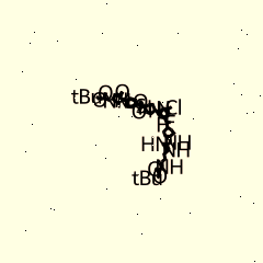 CC(C)(C)OC(=O)NCCCNC(=N)NC1CCC(C(F)(F)c2cc(Cl)nc(N3CCN(S(=O)(=O)c4ccc(N5C[C@H](NC(=O)OC(C)(C)C)CC5=O)cc4)CC3)c2)CC1